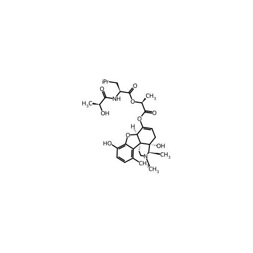 Cc1ccc(O)c2c1[C@]13CCN(C)[C@H](C)[C@]1(O)CC=C(OC(=O)[C@H](C)OC(=O)[C@H](CC(C)C)NC(=O)[C@H](C)O)[C@@H]3O2